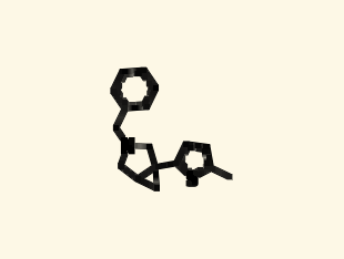 Cc1ccc(C23CC2CN(Cc2ccccc2)C3)s1